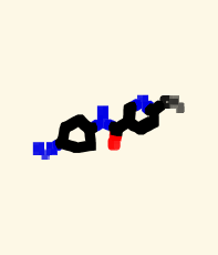 Cc1ccc(C(=O)NC2CCC(N)CC2)cn1